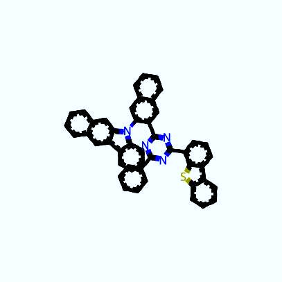 c1ccc(-c2nc(-c3cc4ccccc4cc3-n3c4ccccc4c4cc5ccccc5cc43)nc(-c3cccc4c3sc3ccccc34)n2)cc1